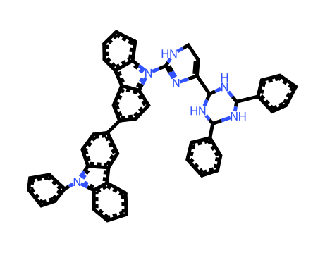 C1=C(C2NC(c3ccccc3)NC(c3ccccc3)N2)N=C(n2c3ccccc3c3cc(-c4ccc5c(c4)c4ccccc4n5-c4ccccc4)ccc32)NC1